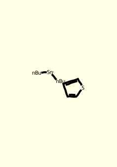 CCC[CH2][Sn][CH2]CCC.c1ccsc1